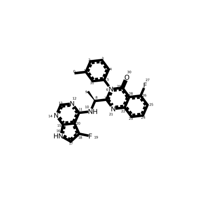 Cc1cccc(-n2c([C@H](C)Nc3ncnc4[nH]cc(F)c34)nc3cccc(F)c3c2=O)c1